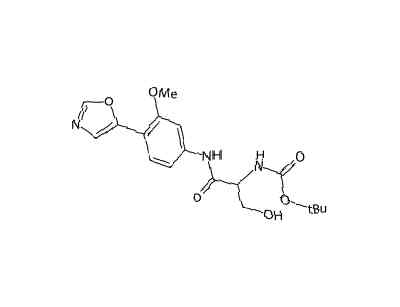 COc1cc(NC(=O)C(CO)NC(=O)OC(C)(C)C)ccc1-c1cnco1